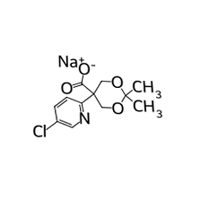 CC1(C)OCC(C(=O)[O-])(c2ccc(Cl)cn2)CO1.[Na+]